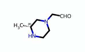 C[C@@H]1CN(CC=O)CCN1